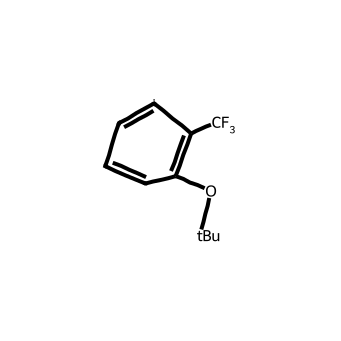 CC(C)(C)Oc1ccc[c]c1C(F)(F)F